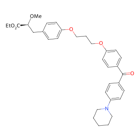 CCOC(=O)[C@H](Cc1ccc(OCCCOc2ccc(C(=O)c3ccc(N4CCCCC4)cc3)cc2)cc1)OC